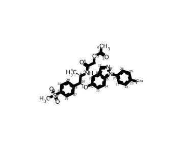 CC(=O)OCC(=O)N[C@@H](C)[C@H](Oc1ccc2c(cnn2-c2ccc(F)cc2)c1)c1ccc(S(C)(=O)=O)cc1